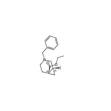 CCOC(=O)[C@@]12CCN(Cc3ccccc3)C[C@@H]1C2